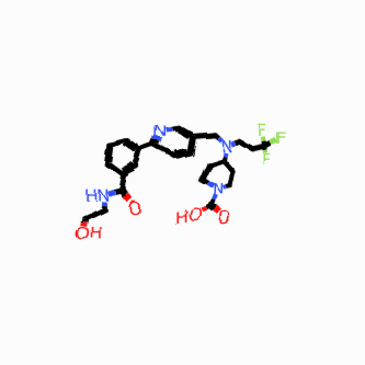 O=C(NCCO)c1cccc(-c2ccc(CN(CCC(F)(F)F)C3CCN(C(=O)O)CC3)cn2)c1